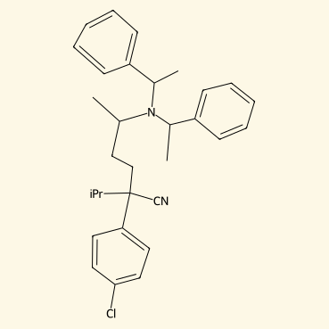 CC(CCC(C#N)(c1ccc(Cl)cc1)C(C)C)N(C(C)c1ccccc1)C(C)c1ccccc1